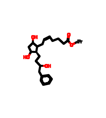 CC(C)OC(=O)CCC/C=C\CC1C(O)CC(O)[C@@H]1CCC(O)Cc1ccccc1